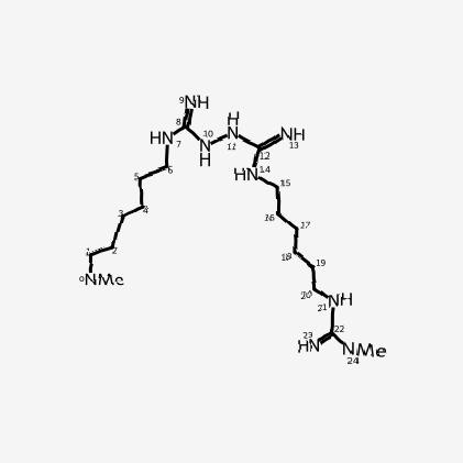 CNCCCCCCNC(=N)NNC(=N)NCCCCCCNC(=N)NC